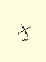 [Mn+2].[S]=[W](=[S])([S-])[S-]